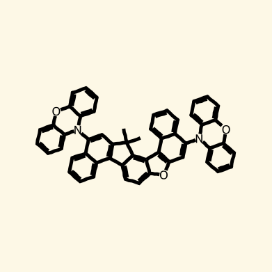 CC1(C)c2cc(N3c4ccccc4Oc4ccccc43)c3ccccc3c2-c2ccc3oc4cc(N5c6ccccc6Oc6ccccc65)c5ccccc5c4c3c21